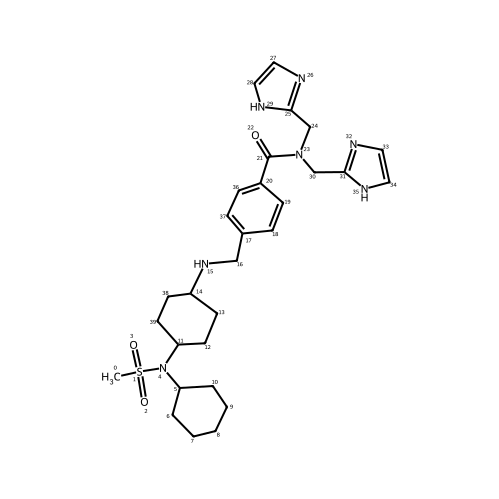 CS(=O)(=O)N(C1CCCCC1)C1CCC(NCc2ccc(C(=O)N(Cc3ncc[nH]3)Cc3ncc[nH]3)cc2)CC1